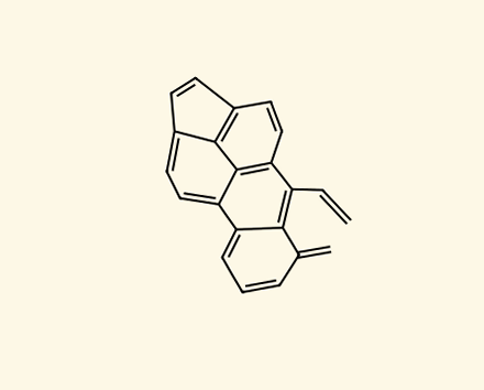 C=Cc1c2ccc3c4c(ccc(c5cccc(=C)c15)c24)C=C3